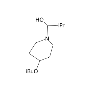 CC(C)COC1CCN(C(O)C(C)C)CC1